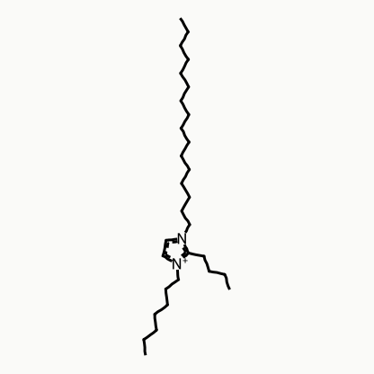 CCCCCCCCCCCCCCCCn1cc[n+](CCCCCCC)c1CCCC